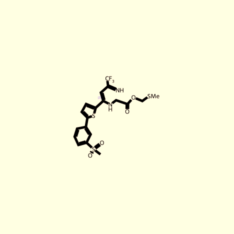 CSCOC(=O)CN/C(=C\C(=N)C(F)(F)F)c1ccc(-c2cccc(S(C)(=O)=O)c2)s1